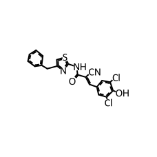 N#C/C(=C\c1cc(Cl)c(O)c(Cl)c1)C(=O)Nc1nc(Cc2ccccc2)cs1